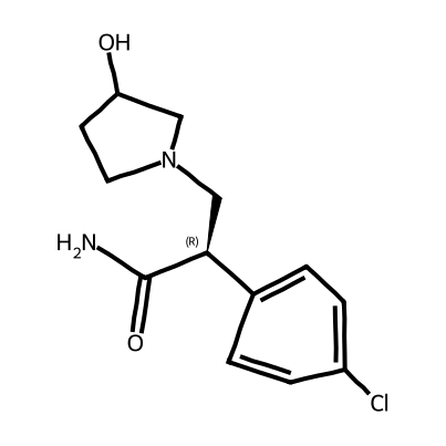 NC(=O)[C@@H](CN1CCC(O)C1)c1ccc(Cl)cc1